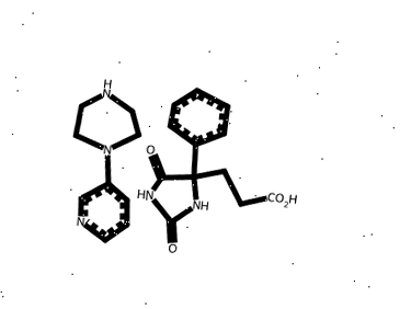 O=C(O)CCC1(c2ccccc2)NC(=O)NC1=O.c1cncc(N2CCNCC2)c1